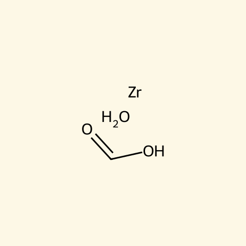 O.O=CO.[Zr]